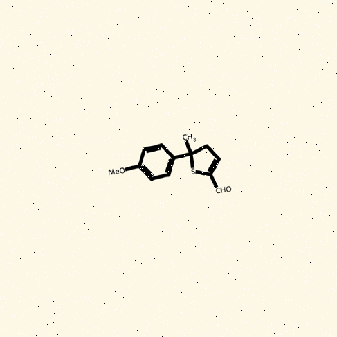 COc1ccc(C2(C)CC=C(C=O)S2)cc1